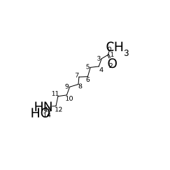 CC(=O)CCCCCCCCCCNO